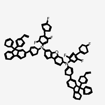 C=Cc1ccc(C2(C3=CC=CCC3)c3ccccc3-c3ccc(C4=CCC(N(C5=CC(F)=C(c6ccc(F)cc6)CC5F)c5ccc6c7c(oc6c5)CC(N(C5=CCC(C6=CC8C(C=C6)C6=C(CCC=C6)C8(c6ccccc6)C6C=CC(C=C)CC6)C=C5)c5cc(F)c(C6=CCC(F)CC6)cc5F)C=C7)C=C4)cc32)cc1